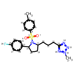 Cc1ccc(S(=O)(=O)N2C(CCCc3nnn(C)n3)CCC2c2ccc(F)cc2)cc1